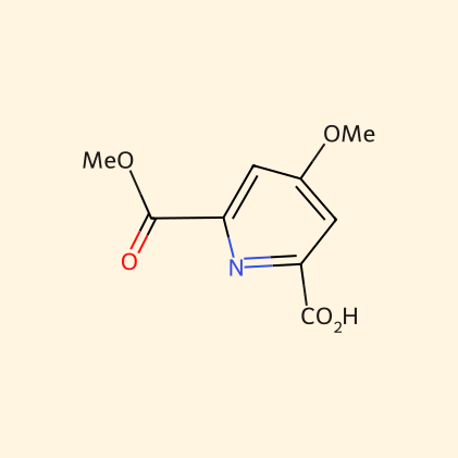 COC(=O)c1cc(OC)cc(C(=O)O)n1